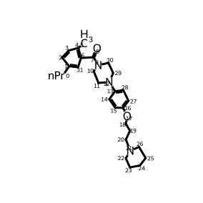 CCCc1ccc(C)c(C(=O)N2CCN(c3ccc(OCCCN4CCCCC4)cc3)CC2)c1